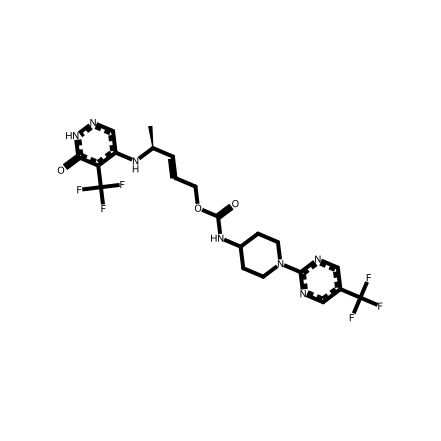 C[C@@H](/C=C/COC(=O)NC1CCN(c2ncc(C(F)(F)F)cn2)CC1)Nc1cn[nH]c(=O)c1C(F)(F)F